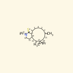 CC1CCCCCC2C(=S)N(C(C)C)CCC2CCC(C)(C(C)C)CC1